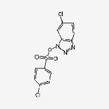 O=S(=O)(On1nnc2ccc(Cl)cc21)c1ccc(Cl)cc1